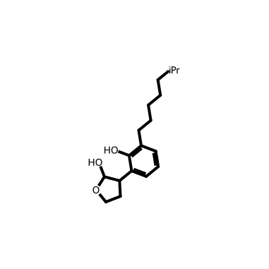 CC(C)CCCCCc1cccc(C2CCOC2O)c1O